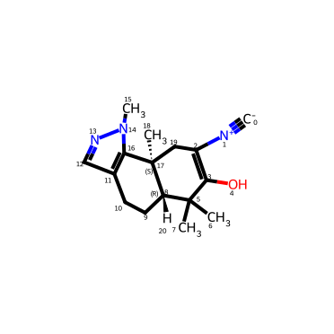 [C-]#[N+]C1=C(O)C(C)(C)[C@@H]2CCc3cnn(C)c3[C@@]2(C)C1